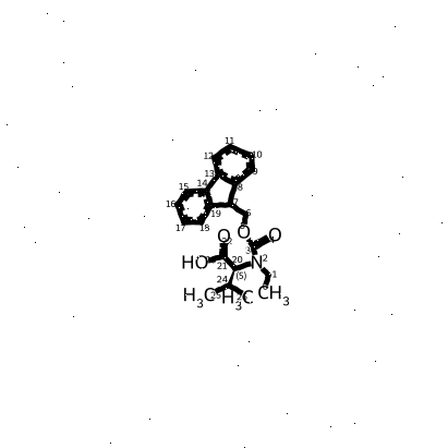 CCN(C(=O)OCC1c2ccccc2-c2ccccc21)[C@H](C(=O)O)C(C)C